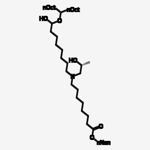 CCCCCCCCCOC(=O)CCCCCCCN(CCCCCCCC(O)OC(CCCCCCCC)CCCCCCCC)C[C@@H](C)O